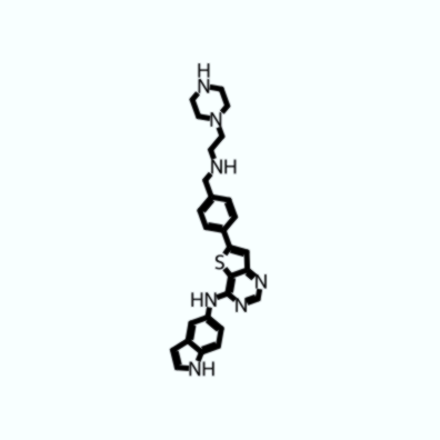 c1nc(Nc2ccc3[nH]ccc3c2)c2sc(-c3ccc(CNCCN4CCNCC4)cc3)cc2n1